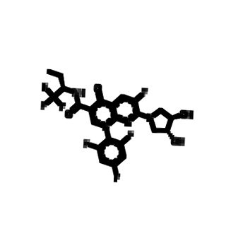 CC[C@@H](NC(=O)c1cn(-c2c(F)cc(F)cc2F)c2nc(N3C[C@@H](O)[C@H](O)C3)c(F)cc2c1=O)C(F)(F)F